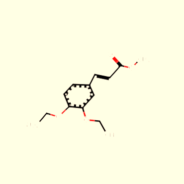 CCOc1ccc(/C=C/C(=O)OC)cc1OCC